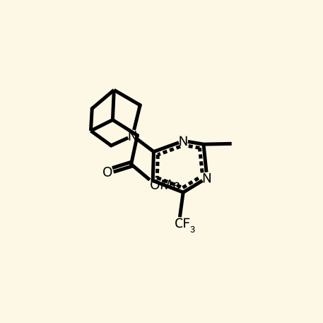 COC(=O)CC1C2CC1CN(c1cc(C(F)(F)F)nc(C)n1)C2